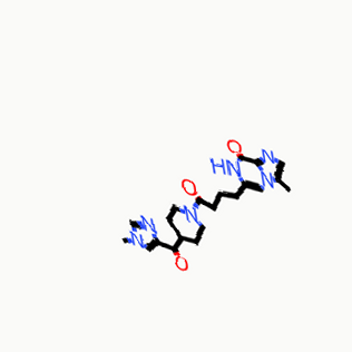 Cc1cnc2c(=O)[nH]c(CCCC(=O)N3CCC(C(=O)c4cn(C)cn4)CC3)cn12